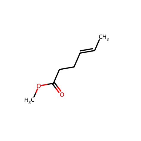 CC=CCCC(=O)OC